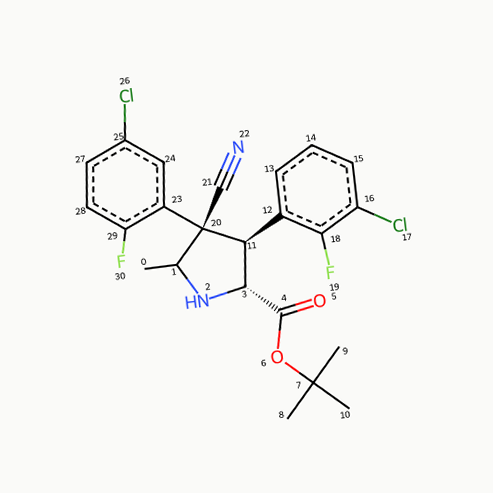 CC1N[C@@H](C(=O)OC(C)(C)C)[C@H](c2cccc(Cl)c2F)[C@@]1(C#N)c1cc(Cl)ccc1F